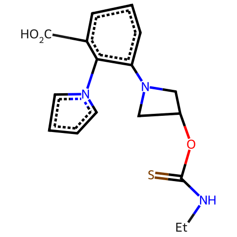 CCNC(=S)OC1CN(c2cccc(C(=O)O)c2-n2cccc2)C1